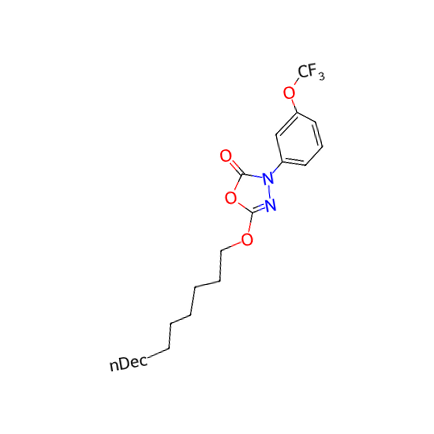 CCCCCCCCCCCCCCCCOc1nn(-c2cccc(OC(F)(F)F)c2)c(=O)o1